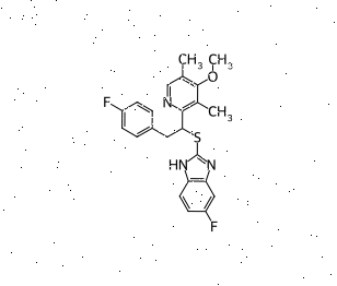 COc1c(C)cnc(C(Cc2ccc(F)cc2)Sc2nc3cc(F)ccc3[nH]2)c1C